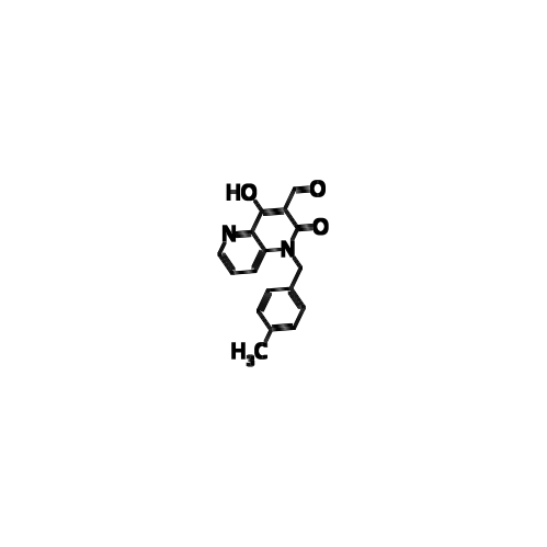 Cc1ccc(Cn2c(=O)c(C=O)c(O)c3ncccc32)cc1